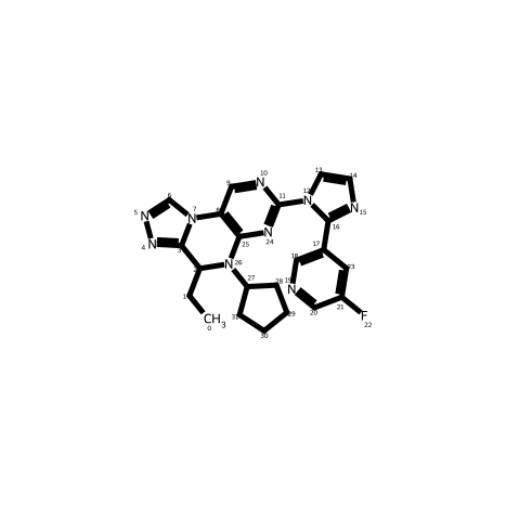 CCC1c2nncn2-c2cnc(-n3ccnc3-c3cncc(F)c3)nc2N1C1CCCC1